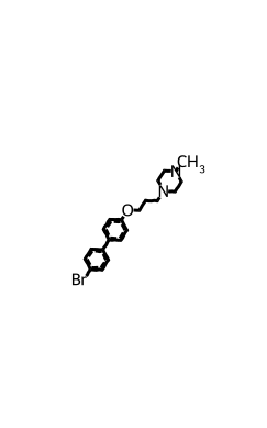 CN1CCN(CCCOc2ccc(-c3ccc(Br)cc3)cc2)CC1